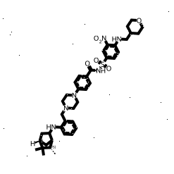 C[C@H]1C2C[C@@H](CC2Nc2ccccc2CN2CCN(c3ccc(C(=O)NS(=O)(=O)c4ccc(NCC5CCOCC5)c([N+](=O)[O-])c4)cc3)CC2)C1(C)C